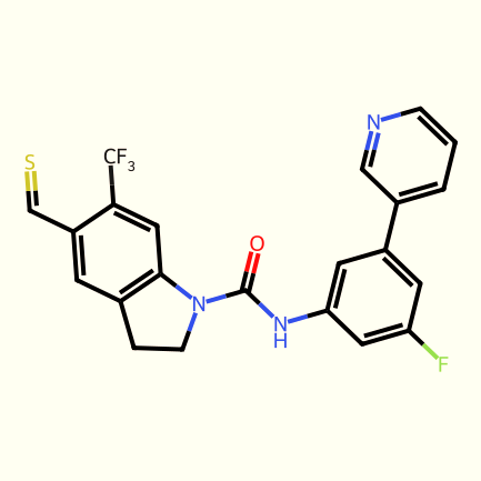 O=C(Nc1cc(F)cc(-c2cccnc2)c1)N1CCc2cc(C=S)c(C(F)(F)F)cc21